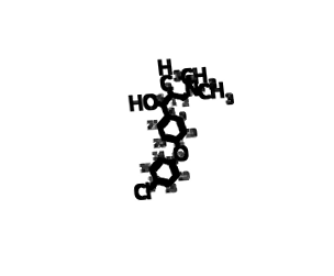 CC(CN(C)C)C(O)c1ccc(Oc2ccc(Cl)cc2)cc1